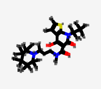 [2H]c1sc2c(c1[2H])c(O)c(C(=O)N([2H])CCC([2H])N1C([2H])([2H])C([2H])([2H])C([2H])([2H])C([2H])(C)C1([2H])[2H])c(=O)n2C([2H])(C)C([2H])([2H])[2H]